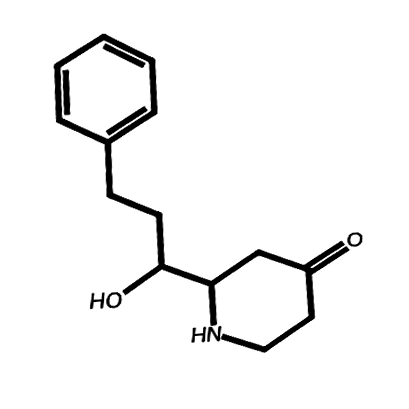 O=C1CCNC(C(O)CCc2ccccc2)C1